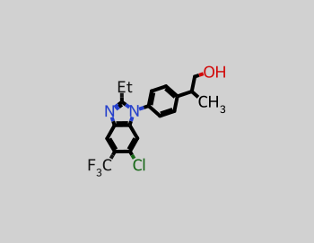 CCc1nc2cc(C(F)(F)F)c(Cl)cc2n1-c1ccc(C(C)CO)cc1